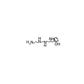 NCCCNCCNCCC(N)Cc1ccccc1O